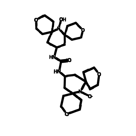 [O]N1C2(CCOCC2)CC(NC(=O)NC2CC3(CCOCC3)N(O)C3(CCOCC3)C2)CC12CCOCC2